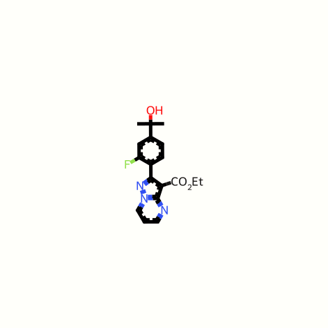 CCOC(=O)c1c(-c2ccc(C(C)(C)O)cc2F)nn2cccnc12